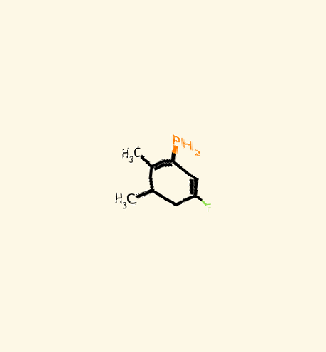 CC1=C(P)C=C(F)CC1C